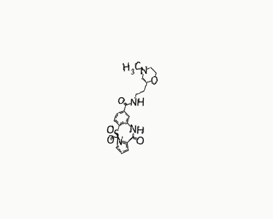 CN1CCOC(CCNC(=O)c2ccc3c(c2)NC(=O)c2cccn2S3(=O)=O)C1